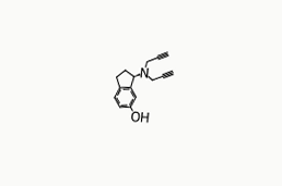 C#CCN(CC#C)[C@@H]1CCc2ccc(O)cc21